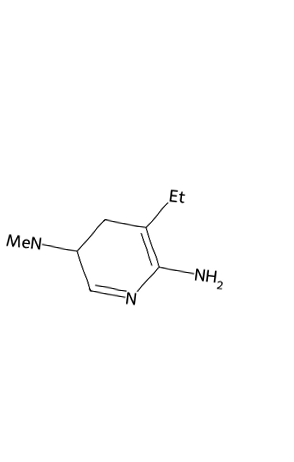 CCC1=C(N)N=CC(NC)C1